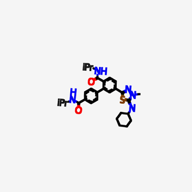 CC(C)NC(=O)c1ccc(-c2cc(-c3nn(C)c(=NC4CCCCC4)s3)ccc2C(=O)NC(C)C)cc1